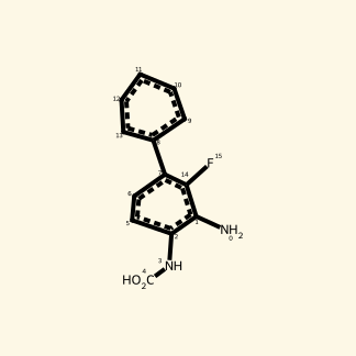 Nc1c(NC(=O)O)ccc(-c2ccccc2)c1F